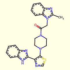 Cc1nc2ccccc2n1CC(=O)N1CCN(c2scnc2-c2nc3ccccc3[nH]2)CC1